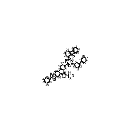 CC1(C)c2cc(-c3nc(-c4cccc(-c5ccccc5)c4)nc(-c4cccc5c4sc4ccccc45)n3)ccc2-c2cc3nc(-c4ccccc4)oc3cc21